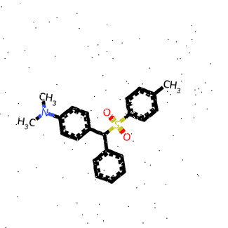 Cc1ccc(S(=O)(=O)C(c2ccccc2)c2ccc(N(C)C)cc2)cc1